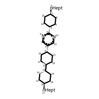 CCCCCCC[C@H]1CC[C@H](c2ncc([C@H]3CC[C@H]([C@H]4CC[C@H](CCCCCCC)CC4)CC3)cn2)CC1